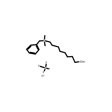 CCCCCCCCCCCCCCCCCC[N+](C)(C)Cc1ccccc1.F[B-](F)(F)F.[H+]